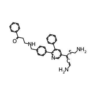 NC=C=C(SCN)c1cnc(-c2ccc(CNCCC(=O)c3ccccc3)cc2)c(-c2ccccc2)c1